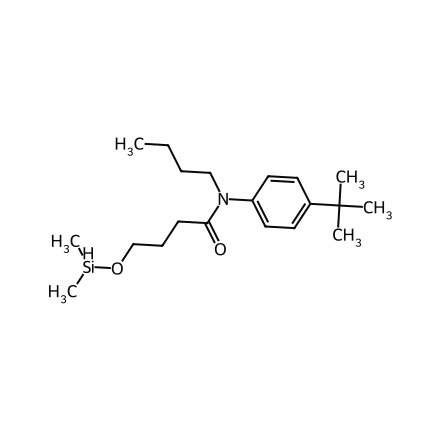 CCCCN(C(=O)CCCO[SiH](C)C)c1ccc(C(C)(C)C)cc1